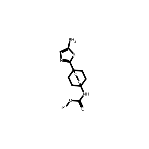 Bc1cnc(C23CCC(NC(=O)OC(C)C)(CC2)CC3)s1